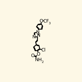 NC(=O)Oc1ccc(C=Cc2ncn(-c3ccc(OC(F)(F)F)cc3)n2)cc1Cl